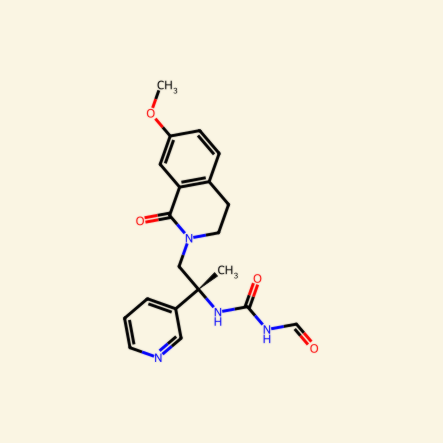 COc1ccc2c(c1)C(=O)N(C[C@](C)(NC(=O)NC=O)c1cccnc1)CC2